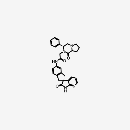 O=C(CN1C(=O)C2CCCN2C[C@@H]1c1ccccc1)Nc1ccc2c(c1)C[C@@]1(C2)C(=O)Nc2ncccc21